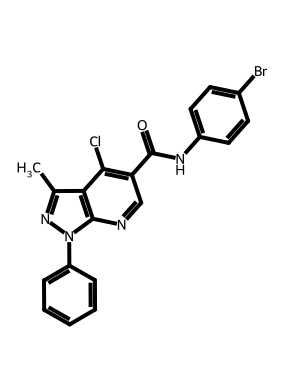 Cc1nn(-c2ccccc2)c2ncc(C(=O)Nc3ccc(Br)cc3)c(Cl)c12